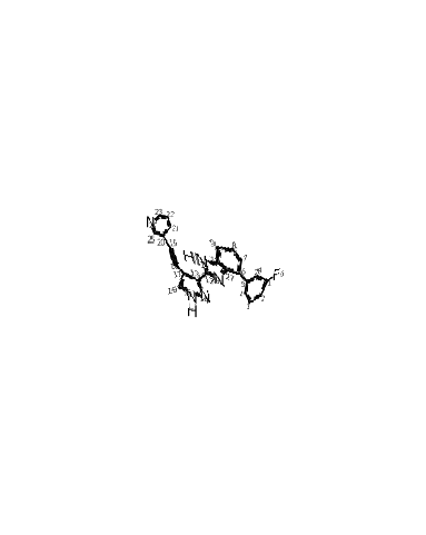 Fc1cccc(-c2cccc3[nH]c(-c4n[nH]cc4C#Cc4cccnc4)nc23)c1